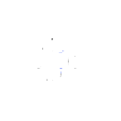 O=C(O)CN(CC(=O)O)C1C2CCC(C2)C1N(CC(=O)O)CC(=O)O